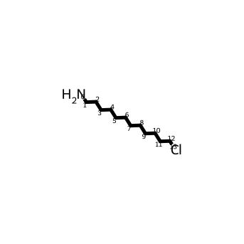 NCCCCCCCCCCCCCl